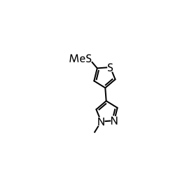 CSc1cc(-c2cnn(C)c2)cs1